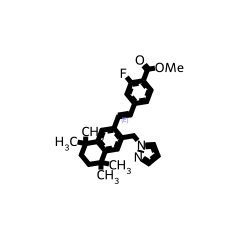 COC(=O)c1ccc(/C=C/c2cc3c(cc2Cn2cccn2)C(C)(C)CCC3(C)C)cc1F